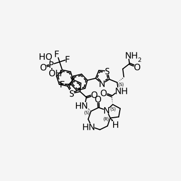 NC(=O)CC[C@H](NC(=O)[C@@H]1CC[C@@H]2CCNC[C@H](NC(=O)c3cc4cc(C(F)(F)P(=O)(O)O)ccc4s3)C(=O)N21)c1nc(-c2ccc(F)cc2)cs1